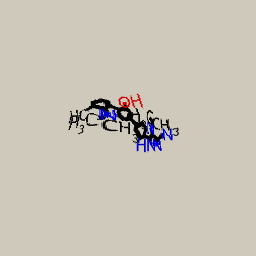 C#Cc1cccc2c3c(O)cc(-c4ccc5c6[nH]nc(C#N)c6n(C(C)C)c5c4)cc3n(C(C)C)c12